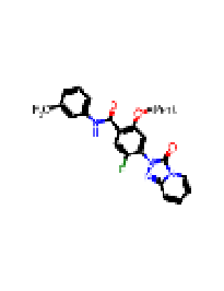 CCCC(C)Oc1cc(-n2nc3ccccn3c2=O)c(F)cc1C(=O)Nc1cccc(C(F)(F)F)c1